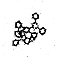 c1ccc(-c2nc(-c3ccccc3)nc(-c3cc(-c4ccccc4-c4ccccc4)ccc3-c3cccc4oc5ccc6c(c7ccccc7n6-c6ccccc6)c5c34)n2)cc1